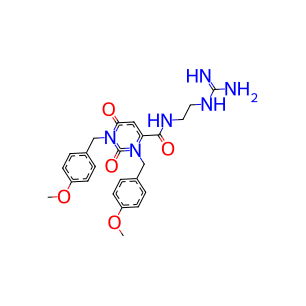 COc1ccc(Cn2c(C(=O)NCCNC(=N)N)cc(=O)n(Cc3ccc(OC)cc3)c2=O)cc1